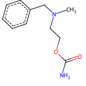 CN(CCOC(N)=O)Cc1ccccc1